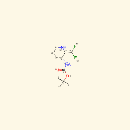 CC(C)(C)OC(=O)N[C@@H]1CCCN[C@@H]1C(F)F